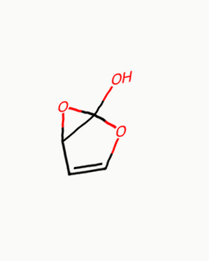 OC12OC=CC1O2